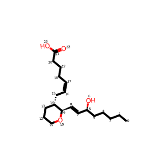 CCCCC[C@H](O)C=C[C@H]1OCCC[C@@H]1C/C=C\CCCC(=O)O